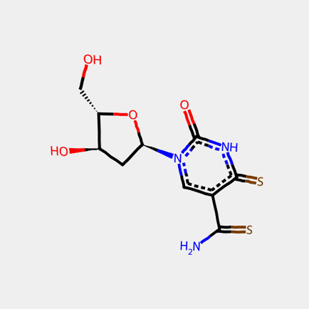 NC(=S)c1cn([C@H]2C[C@@H](O)[C@H](CO)O2)c(=O)[nH]c1=S